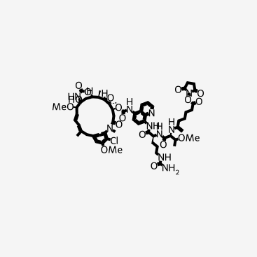 C=C(CCCCC(=O)ON1C(=O)CCC1=O)N[C@H](C(=O)N[C@@H](CCCNC(N)=O)C(=O)Nc1ccc(NC(=O)O[C@H]2CC(=O)N(C)c3cc(cc(OC)c3Cl)C/C(C)=C/C=C/[C@@H](OC)[C@@]3(O)C[C@H](OC(=O)N3)[C@@H](C)[C@@H]3O[C@@]23C)c2cccnc12)C(C)OC